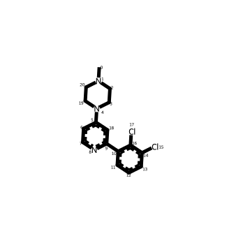 CN1CCN(c2ccnc(-c3cccc(Cl)c3Cl)c2)CC1